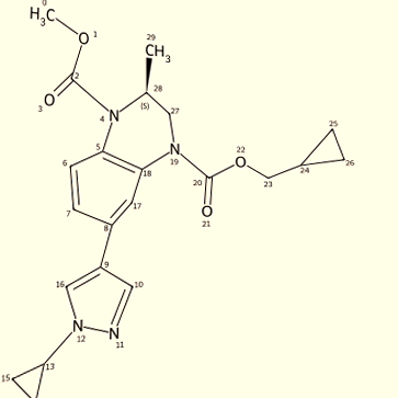 COC(=O)N1c2ccc(-c3cnn(C4CC4)c3)cc2N(C(=O)OCC2CC2)C[C@@H]1C